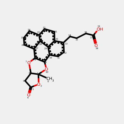 CC12OC(=O)CC1Oc1c(c3ccc(CCCC(=O)O)c4ccc5cccc1c5c43)O2